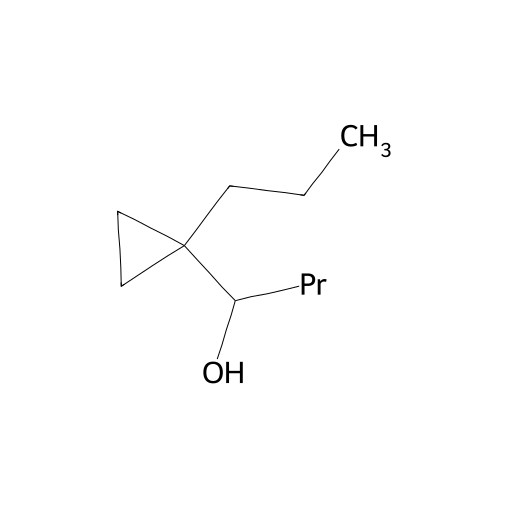 CCCC1([CH](O)[Pr])CC1